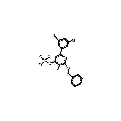 CCS(=O)(=O)Oc1cc(-c2cc(Cl)cc(Cl)c2)nc(OCc2ccccc2)c1C